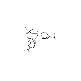 CC(=C(c1ccc(N(C)C)cc1)c1ccc(N(C)C)cc1)P(C(C)(C)C)C(C)(C)C